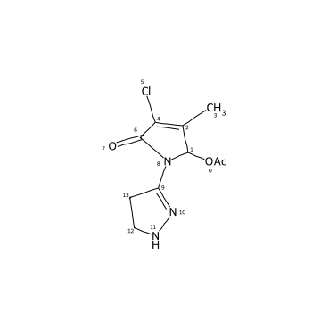 CC(=O)OC1C(C)=C(Cl)C(=O)N1C1=NNCC1